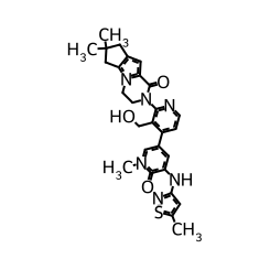 Cc1cc(Nc2cc(-c3ccnc(N4CCn5c(cc6c5CC(C)(C)C6)C4=O)c3CO)cn(C)c2=O)ns1